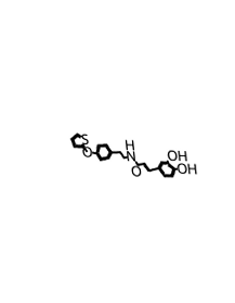 O=C(/C=C/c1ccc(O)c(O)c1)NCCc1ccc(Oc2cccs2)cc1